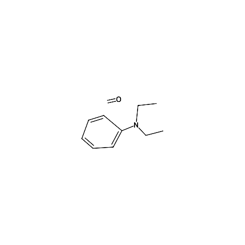 C=O.CCN(CC)c1ccccc1